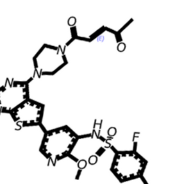 COc1ncc(-c2cc3c(N4CCN(C(=O)/C=C/C(C)=O)CC4)ncnc3s2)cc1NS(=O)(=O)c1ccc(F)cc1F